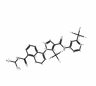 CC(C)NC(=O)c1cccc2c1CCC=C2n1ncc(C(=O)Nc2ccnc(C(F)(F)F)c2)c1C(F)(F)F